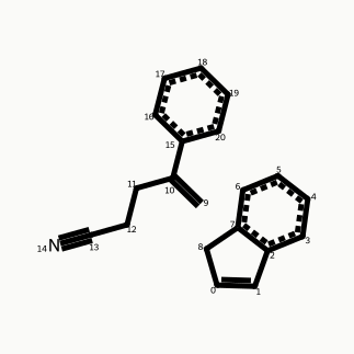 C1=Cc2ccccc2C1.C=C(CCC#N)c1ccccc1